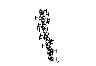 C[SiH2]OO[SiH](C)O[SiH](C)O[SiH](C)O[SiH](C)O[SiH](C)O[SiH](C)O[SiH](C)O[SiH](C)O[SiH](C)O[SiH](C)O[SiH](C)O[SiH](C)O[SiH](C)O[SiH](C)O[SiH](C)O[SiH](C)O[SiH](C)O[SiH2]C